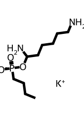 CCCCP(=O)([O-])OC(N)CCCCCN.[K+]